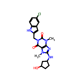 Cn1c(NC2CCC(O)C2)nc2c1c(=O)n(Cc1cc3cc(Cl)ccc3[nH]1)c(=O)n2C